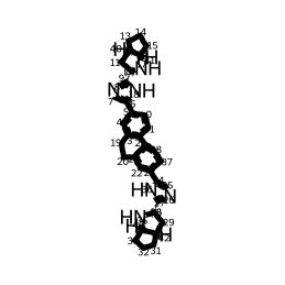 c1cc2c(cc1-c1cnc([C@@H]3C[C@@H]4CCC[C@@H]4N3)[nH]1)CCc1cc(-c3cnc([C@@H]4C[C@@H]5CCC[C@@H]5N4)[nH]3)ccc1-2